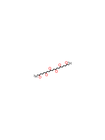 [2H]CC(=O)CCCC(=O)CCC(=O)CCC(=O)CCC(=O)CCCC(=O)C[2H]